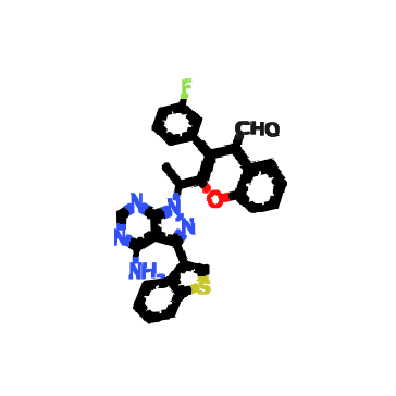 CC(C1=C(c2cccc(F)c2)C(C=O)c2ccccc2O1)n1nc(-c2csc3ccccc23)c2c(N)ncnc21